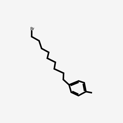 Cc1ccc(CCCCCCCCCBr)cc1